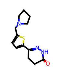 O=C1CCC(c2ccc(CN3CCCC3)s2)=NN1